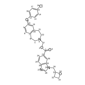 O=C(OCN1CCc2ccc(Oc3ccc(Cl)cc3)cc2CC1)c1ccc2ncn(CC3CCO3)c2c1